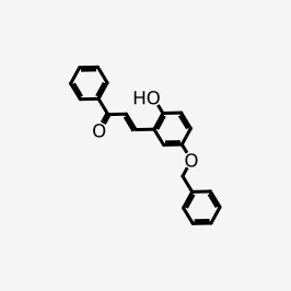 O=C(C=Cc1cc(OCc2ccccc2)ccc1O)c1ccccc1